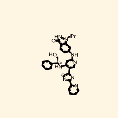 CC(C)n1[nH]c(=O)c2ccc(Nc3cc(N[C@H](CO)c4ccccc4)c(-c4nc(-c5ccccn5)no4)cn3)cc21